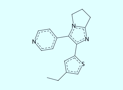 CCc1csc(-c2nc3n(c2-c2ccncc2)CCC3)c1